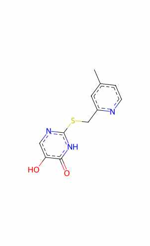 Cc1ccnc(CSc2ncc(O)c(=O)[nH]2)c1